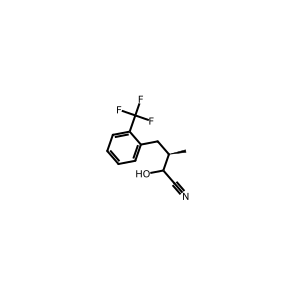 C[C@H](Cc1ccccc1C(F)(F)F)C(O)C#N